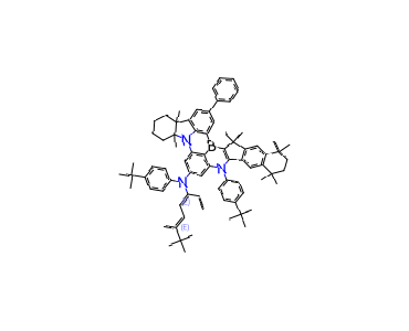 C=C/C(=C\C=C(/C)C(C)(C)C)N(c1ccc(C(C)(C)C)cc1)c1cc2c3c(c1)N1c4c(cc(-c5ccccc5)cc4C4(C)CCCCC14C)B3C1=C(c3cc4c(cc3C1(C)C)C(C)(C)CCC4(C)C)N2c1ccc(C(C)(C)C)cc1